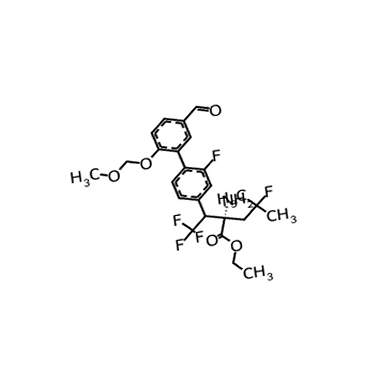 CCOC(=O)[C@](N)(CC(C)(C)F)C(c1ccc(-c2cc(C=O)ccc2OCOC)c(F)c1)C(F)(F)F